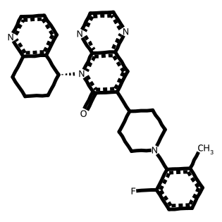 Cc1cccc(F)c1N1CCC(c2cc3nccnc3n([C@@H]3CCCc4ncccc43)c2=O)CC1